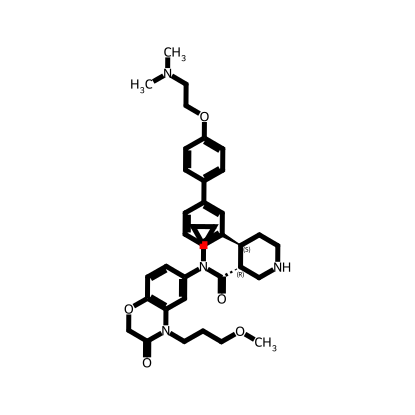 COCCCN1C(=O)COc2ccc(N(C(=O)[C@H]3CNCC[C@@H]3c3cccc(-c4ccc(OCCN(C)C)cc4)c3)C3CC3)cc21